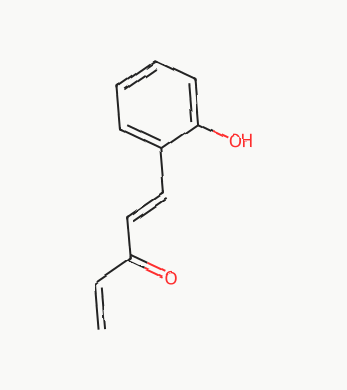 C=CC(=O)/C=C/c1ccccc1O